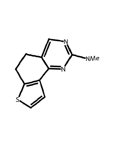 CNc1ncc2c(n1)-c1ccsc1CC2